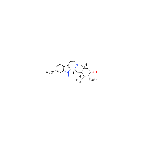 COc1ccc2c3c([nH]c2c1)[C@@H]1C[C@H]2[C@@H](C[C@@H](O)[C@H](OC)[C@H]2C(=O)O)CN1CC3